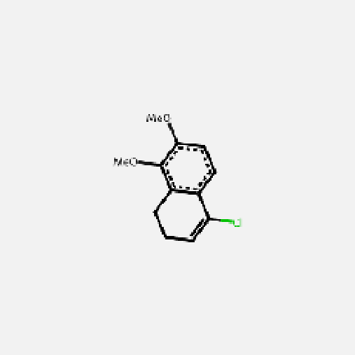 COc1ccc2c(c1OC)CCC=C2Cl